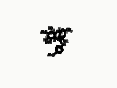 CN[C@@H]1[C@H](O)[C@H](NC)[C@H]2O[C@]3(O)[C@H](O[C@@H]2[C@H]1O)O[C@H](C)C[C@@]3(O)CNc1ccc(OC)cc1